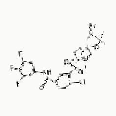 CC(=O)N1C[C@@]2(OC1(C)C)C1C[C@@H](S(=O)(=O)c3cc(C(=O)Nc4cc(F)c(F)c(F)c4)ccc3Cl)CC2[C@@H](C)C1